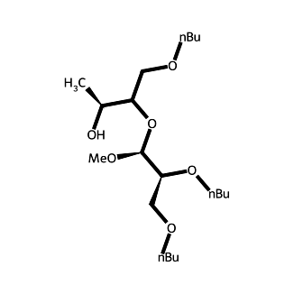 CCCCOCC(O[C@H](OC)[C@H](COCCCC)OCCCC)[C@H](C)O